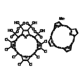 C1=Cc2cc3ccc(cc4nc(cc5ccc(cc1n2)[nH]5)C=C4)[nH]3.O=S(=O)(O)C1=C(S(=O)(=O)O)c2nc1c(S(=O)(=O)O)c1[nH]c(c(Cl)c3nc(c(Cl)c4[nH]c(c(Cl)c4Cl)c2S(=O)(=O)O)C(Cl)=C3Cl)c(Cl)c1Cl.[Mn]